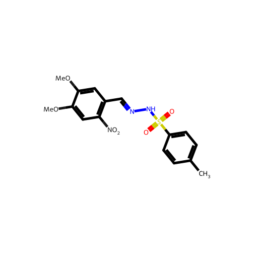 COc1cc(C=NNS(=O)(=O)c2ccc(C)cc2)c([N+](=O)[O-])cc1OC